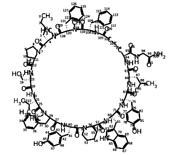 CCCC[C@H]1C(=O)N2CCC[C@@H]2C(=O)N[C@@H](CO)C(=O)N[C@@H](C(C)C)C(=O)N(C)C(Cc2ccccc2)C(=O)N[C@@H](Cc2ccc(O)cc2)C(=O)N2CCCC[C@@H]2C(=O)N[C@@H](Cc2c[nH]c3ccccc23)C(=O)N[C@@H](Cc2ccc(O)cc2)C(=O)N[C@@H](CC(C)C)C(=O)N[C@H](C(=O)NCC(N)=O)CSCC(=O)N[C@@H](Cc2ccccc2)C(=O)N(C)[C@@H](Cc2ccccc2)C(=O)N1C